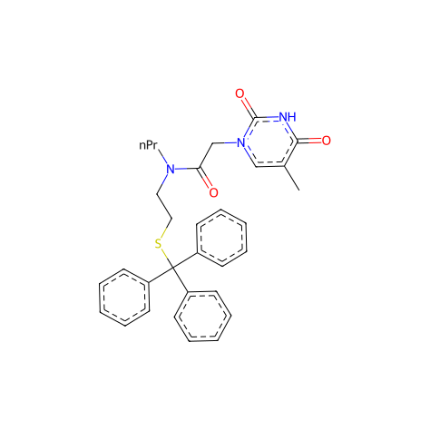 CCCN(CCSC(c1ccccc1)(c1ccccc1)c1ccccc1)C(=O)Cn1cc(C)c(=O)[nH]c1=O